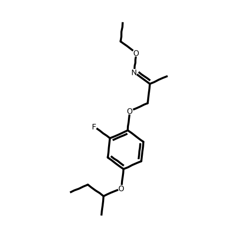 CCON=C(C)COc1ccc(OC(C)CC)cc1F